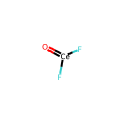 [O]=[Ce]([F])[F]